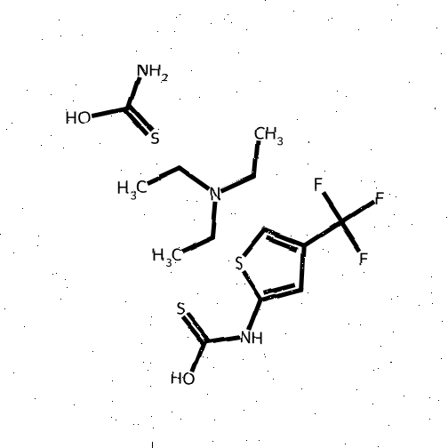 CCN(CC)CC.NC(O)=S.OC(=S)Nc1cc(C(F)(F)F)cs1